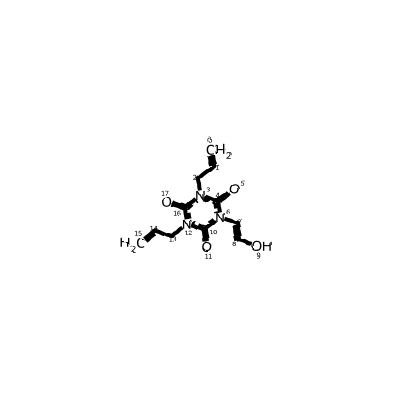 C=CCn1c(=O)n(C=CO)c(=O)n(CC=C)c1=O